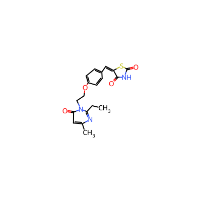 CCc1nc(C)cc(=O)n1CCOc1ccc(C=C2SC(=O)NC2=O)cc1